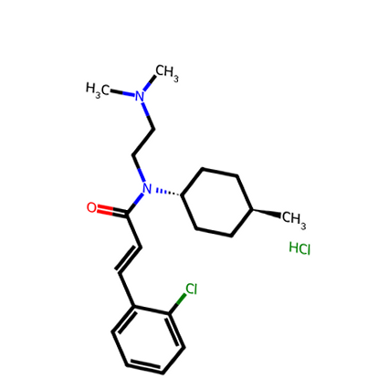 CN(C)CCN(C(=O)C=Cc1ccccc1Cl)[C@H]1CC[C@H](C)CC1.Cl